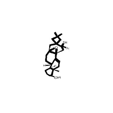 CC1(C)CC2(C1)C[C@]13CC[C@@H]4C(=CC[C@]5(C)[C@@H](O)CC[C@@H]45)[C@@]1(CC2(O)O)O3